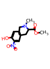 COC(=O)C1Cc2cc([N+](=O)[O-])c(O)cc2CN1C